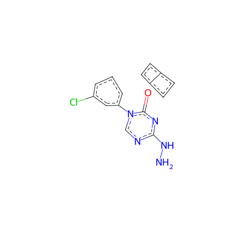 NNc1ncn(-c2cccc(Cl)c2)c(=O)n1.c1cc2ccc1-2